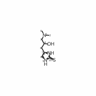 CN(C)CC(O)Cc1c[nH]c(=S)[nH]1